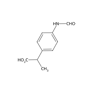 CC(C(=O)O)c1ccc(N[C]=O)cc1